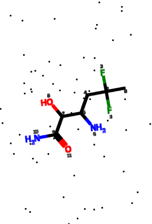 CC(F)(F)CC(N)C(O)C(N)=O